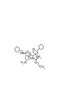 CCCOC(=O)N[C@@H](C(=O)N1C[C@H](N)C[C@H]1C(=O)NCC1CCCCC1)C(C)(C)SCC1CCCCC1